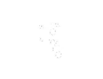 COc1ccc(C(=O)N(C/C(C)=C/c2ccccc2)C[C@@H]2CCCN2C2CCC2)cc1OC